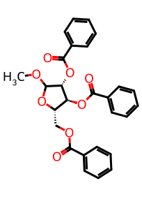 COC1O[C@@H](COC(=O)c2ccccc2)[C@H](OC(=O)c2ccccc2)[C@H]1OC(=O)c1ccccc1